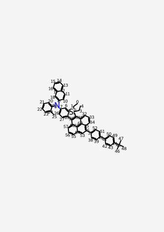 CC[Si]1(CC)c2cc(N(c3ccc4ccccc4c3)c3ccccc3C)ccc2-c2c1c1cccc3c(-c4ccc(-c5ccc(C(C)(C)C)cc5)cc4)cc4cccc2c4c31